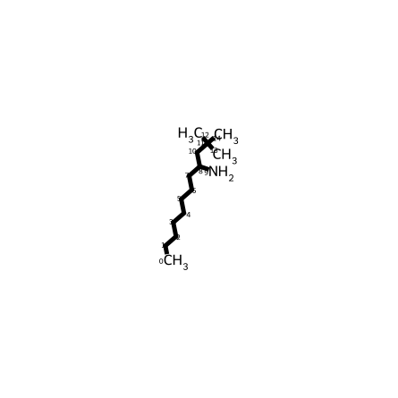 CCCCCCCCC(N)CC(C)(C)C